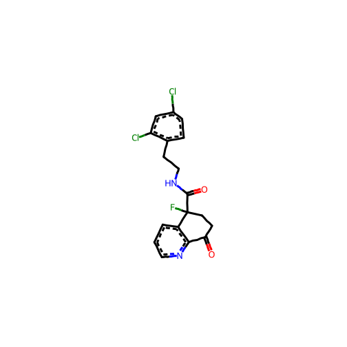 O=C1CCC(F)(C(=O)NCCc2ccc(Cl)cc2Cl)c2cccnc21